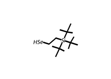 CC(C)(C)[Si](CC[SeH])(C(C)(C)C)C(C)(C)C